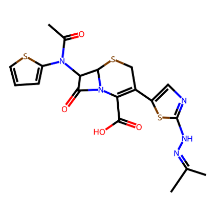 CC(=O)N(c1cccs1)C1C(=O)N2C(C(=O)O)=C(c3cnc(NN=C(C)C)s3)CSC12